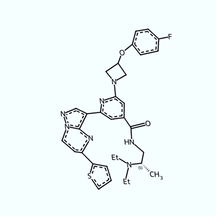 CCN(CC)[C@@H](C)CNC(=O)c1cc(-c2cnn3ccc(-c4cccs4)nc23)nc(N2CC(Oc3ccc(F)cc3)C2)c1